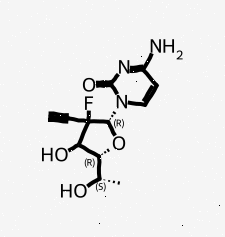 C#CC1(F)C(O)[C@@H]([C@H](C)O)O[C@H]1n1ccc(N)nc1=O